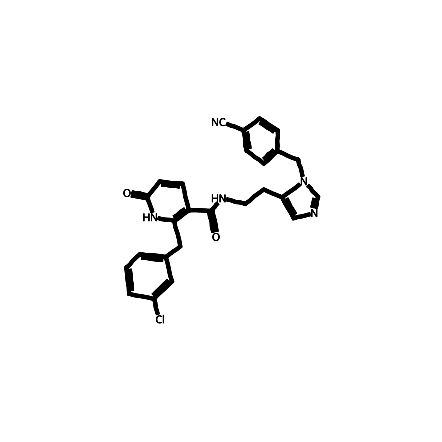 N#Cc1ccc(Cn2cncc2CCNC(=O)c2ccc(=O)[nH]c2Cc2cccc(Cl)c2)cc1